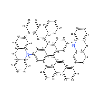 C1=CC2=C(CC1)Cc1ccccc1N2c1ccc2c(-c3cc4ccccc4c4ccccc34)c3cc(N4c5ccccc5Cc5ccccc54)ccc3c(-c3cc4ccccc4c4ccccc34)c2c1